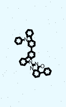 c1ccc(-n2c3ccccc3c3ccc(-c4ccc5c(c4)c4ccccc4n5-c4nc5c6c(cccc6n4)-c4ccccc4O5)cc32)cc1